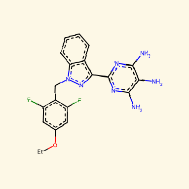 CCOc1cc(F)c(Cn2nc(-c3nc(N)c(N)c(N)n3)c3ccccc32)c(F)c1